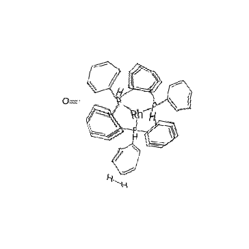 [C]=O.[H][H].c1ccc([PH](c2ccccc2)(c2ccccc2)[Rh]([PH](c2ccccc2)(c2ccccc2)c2ccccc2)[PH](c2ccccc2)(c2ccccc2)c2ccccc2)cc1